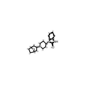 O=c1[nH]c2ccccc2n1C1CCN(C2CC3CCC(C2)O3)CC1